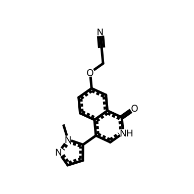 Cn1nccc1-c1c[nH]c(=O)c2cc(OCC#N)ccc12